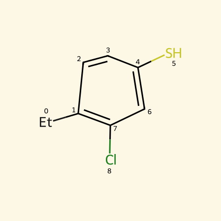 CCc1ccc(S)cc1Cl